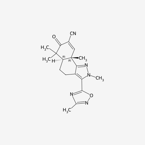 Cc1noc(-c2c3c(nn2C)[C@@]2(C)C=C(C#N)C(=O)C(C)(C)[C@@H]2CC3)n1